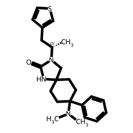 C[C@@H](Cc1ccsc1)N1CC2(CCC(c3ccccc3)(N(C)C)CC2)NC1=O